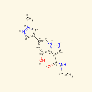 CCNC(=O)c1cnn2cc(-c3cnn(C)c3)cc(O)c12